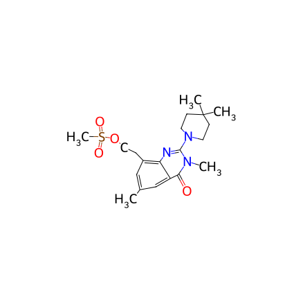 Cc1cc(CCOS(C)(=O)=O)c2nc(N3CCC(C)(C)CC3)n(C)c(=O)c2c1